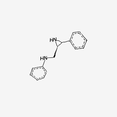 c1ccc(NC[C@H]2NC2c2ccccc2)cc1